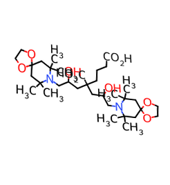 CC1(C)CC2(CC(C)(C)N1CC(O)CC(CCCC(=O)O)(CC(O)CN1C(C)(C)CC3(CC1(C)C)OCCO3)C(=O)O)OCCO2